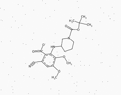 COc1cc(C#N)c([N+](=O)[O-])c(NC2CCCN(C(=O)OC(C)(C)C)C2)c1OC